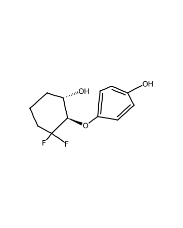 Oc1ccc(O[C@@H]2[C@@H](O)CCCC2(F)F)cc1